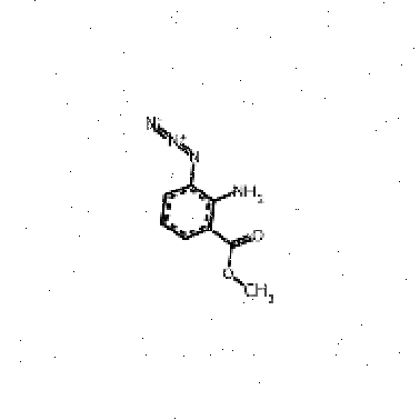 COC(=O)c1cccc(N=[N+]=[N-])c1N